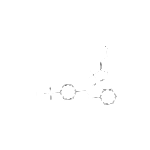 CS(=O)(=O)c1ccc(COc2ccccc2S(=O)(=O)C(F)(F)/C(F)=C/CN)cc1